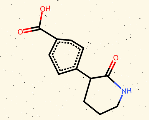 O=C(O)c1ccc(C2CCCNC2=O)cc1